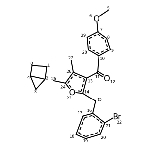 C1CC2CC12.COc1ccc(C(=O)c2c(Cc3ccccc3Br)oc(C)c2C)cc1